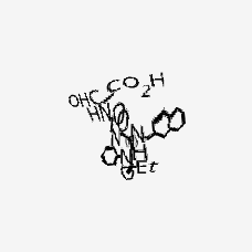 CCC(=O)N1C[C@H](NCc2ccc3ccccc3c2)C(=O)N(CC(=O)NC(C=O)CC(=O)O)c2ccccc21